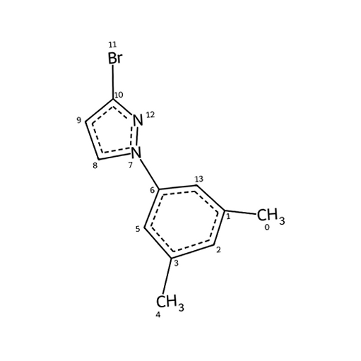 Cc1cc(C)cc(-n2ccc(Br)n2)c1